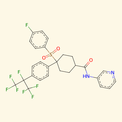 O=C(Nc1cccnc1)C1CCC(c2ccc(C(F)(C(F)(F)F)C(F)(F)F)cc2)(S(=O)(=O)c2ccc(F)cc2)CC1